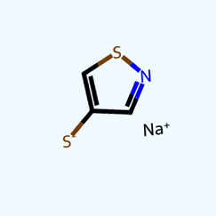 [Na+].[S-]c1cnsc1